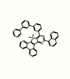 C[Si]1(C)c2c(-c3cccc(-c4cccc(-c5ccccc5)c4)c3)nc(-c3cccc4ccccc34)nc2-c2c1c1ccccc1c1ccccc21